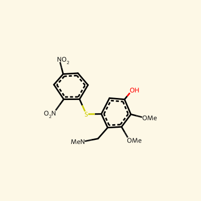 CNCc1c(Sc2ccc([N+](=O)[O-])cc2[N+](=O)[O-])cc(O)c(OC)c1OC